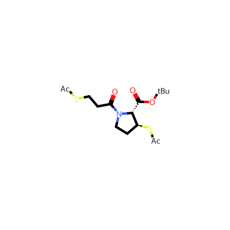 CC(=O)SCCC(=O)N1CC[C@H](SC(C)=O)[C@H]1C(=O)OC(C)(C)C